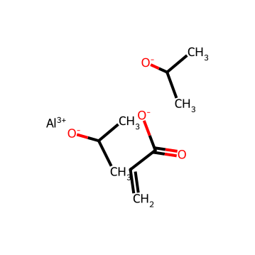 C=CC(=O)[O-].CC(C)[O-].CC(C)[O-].[Al+3]